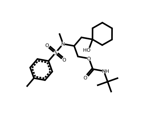 Cc1ccc(S(=O)(=O)N(C)C(COC(=O)NC(C)(C)C)CC2(O)CCCCC2)cc1